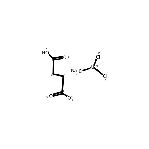 O=C([O-])CCC(=O)O.[Cl][Al]([Cl])[Cl].[Na+]